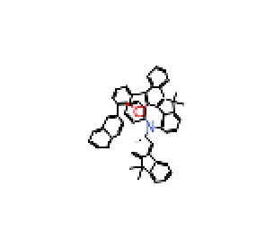 C=C1/C(=C\[C@H](C)N(c2ccccc2)c2cccc3c2-c2c(c4ccccc4c4c2oc2c(-c5ccc6ccccc6c5)cccc24)C3(C)C)c2ccccc2C1(C)C